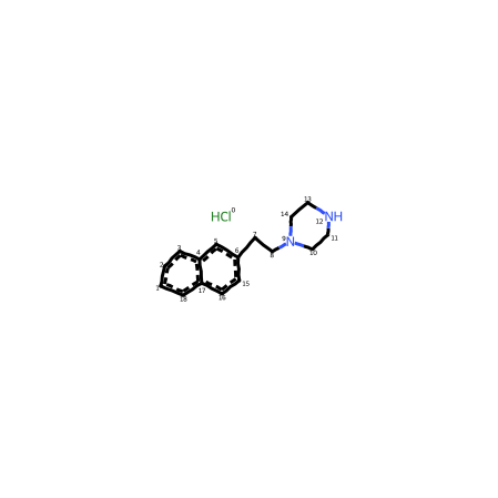 Cl.c1ccc2cc(CCN3CCNCC3)ccc2c1